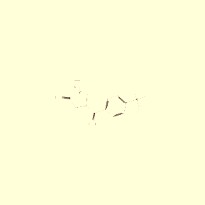 O=C1CC(C(=O)c2ccc(C(F)(F)F)cc2)CN1